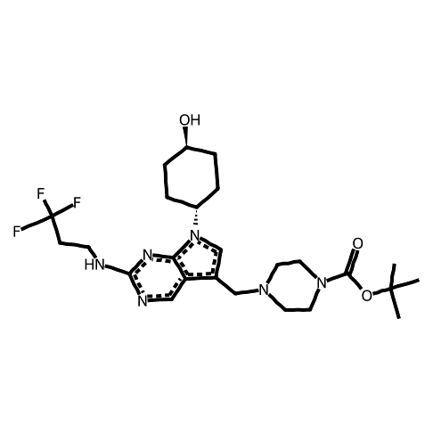 CC(C)(C)OC(=O)N1CCN(Cc2cn([C@H]3CC[C@H](O)CC3)c3nc(NCCC(F)(F)F)ncc23)CC1